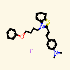 CN(C)c1ccc(/C=C/c2sc3ccccc3[n+]2CCCCOc2ccccc2)cc1.[I-]